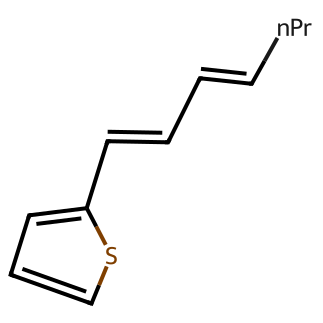 CCC/C=C/C=C/c1cccs1